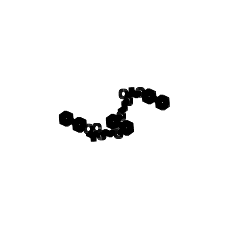 CC(=COc1ccc(-c2ccccc2)cc1)C(=O)OCCCOc1ccccc1-c1ccccc1OCCCOC(=O)C(C)=COc1ccc(-c2ccccc2)cc1